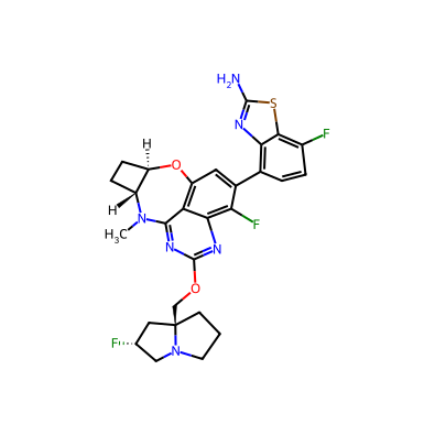 CN1c2nc(OC[C@@]34CCCN3C[C@H](F)C4)nc3c(F)c(-c4ccc(F)c5sc(N)nc45)cc(c23)O[C@@H]2CC[C@H]21